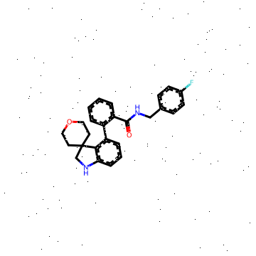 O=C(NCc1ccc(F)cc1)c1ccccc1-c1cccc2c1C1(CCOCC1)CN2